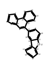 c1ccc2c(c1)cc(-c1ccc3oc4ccccc4c3c1)c1ccccc12